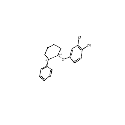 N#Cc1ccc(O[C@H]2CCCC[C@@H]2c2ccccc2)cc1Cl